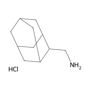 Cl.NCC1C2CC3CC(C2)CC1C3